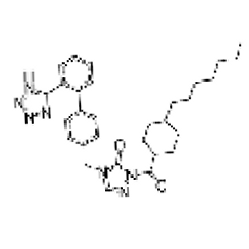 CCCCCCCC1CCC(C(=O)n2ncn(Cc3ccc(-c4ccccc4-c4nnn[nH]4)cc3)c2=O)CC1